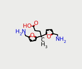 CC(CCC(=O)O)(c1ccc(CN)o1)c1ccc(CN)o1